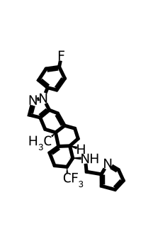 C[C@]12Cc3cnn(-c4ccc(F)cc4)c3C=C1CC[C@H]1C2=CC[C@@H](C(F)(F)F)[C@@H]1NCc1ccccn1